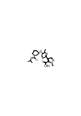 Cc1nc(-c2cnn(C)c2C(=O)O)ncc1O[C@H]1CCC[C@H](C(=O)OC(C)C)C1